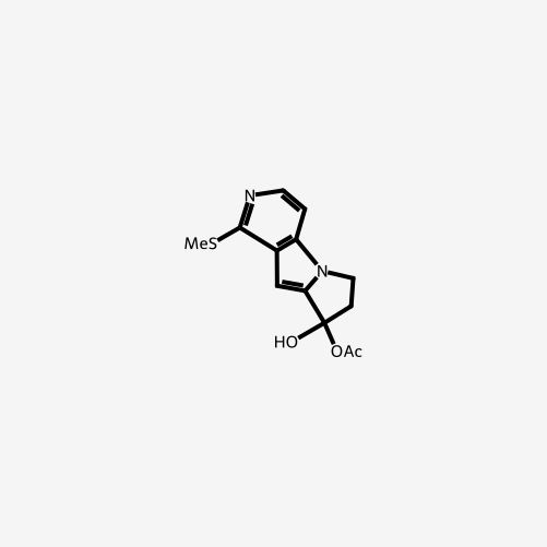 CSc1nccc2c1cc1n2CCC1(O)OC(C)=O